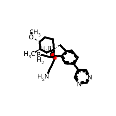 BC1(B)OC(N)=N[C@]12c1cc(-c3cncnc3)ccc1C[C@]21CC[C@@H](OC)[C@H](C)C1